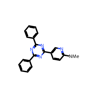 CNc1ccc(-c2nc(-c3ccccc3)nc(-c3ccccc3)n2)cn1